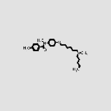 CCCCCN(C)CCCCCCO[C@H]1CC[C@H](N(C)C(=O)c2ccc(C)cc2)CC1